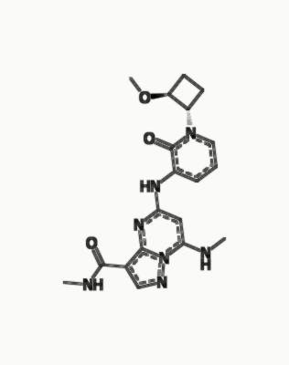 CNC(=O)c1cnn2c(NC)cc(Nc3cccn([C@H]4CC[C@@H]4OC)c3=O)nc12